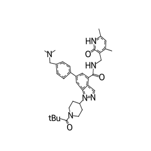 Cc1cc(C)c(CNC(=O)c2cc(-c3ccc(CN(C)C)cc3)cc3c2cnn3C2CCN(C(=O)C(C)(C)C)CC2)c(=O)[nH]1